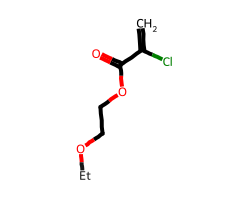 C=C(Cl)C(=O)OCCOCC